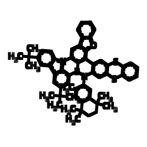 Cc1cc2c(cc1N1B3c4c(cc5c(oc6ccccc65)c4-c4cc5c(cc41)Sc1ccccc1S5)-n1c4ccc(C(C)(C)C)cc4c4cc(C(C)(C)C)cc3c41)C(C)(C)CCC2(C)C